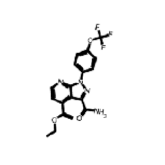 C=C(OCC)c1ccnc2c1c(C(N)=O)nn2-c1ccc(OC(F)(F)F)cc1